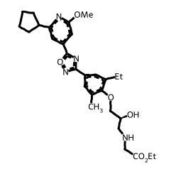 CCOC(=O)CNC[C@H](O)COc1c(C)cc(-c2noc(-c3cc(OC)nc(C4CCCC4)c3)n2)cc1CC